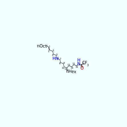 CCCCCCCCC=CCCCNCCCCC(CCCCCC)CCCCNC(=O)C(F)(F)F